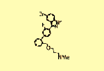 CNCCCOCc1ccccc1-c1ccc(-c2nn(C)c3ccc(Br)cc23)c(F)c1